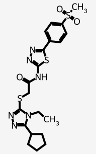 CCn1c(SCC(=O)Nc2nnc(-c3ccc(S(C)(=O)=O)cc3)s2)nnc1C1CCCC1